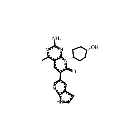 Cc1nc(N)nc2c1cc(-c1cnc3[nH]ccc3c1)c(=O)n2[C@H]1CC[C@@H](O)CC1